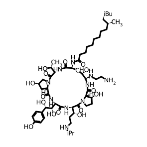 CC[C@H](C)C[C@H](C)CCCCCCCCC(=O)N[C@H]1C[C@@H](O)[C@@H](NCCN)NC(=O)[C@@H]2[C@@H](O)CCN2C(=O)[C@H]([C@H](O)CCNC(C)C)NC(=O)[C@H]([C@H](O)[C@@H](O)c2ccc(O)cc2)NC(=O)[C@@H]2C[C@@H](O)CN2C(=O)[C@H]([C@@H](C)O)NC1=O